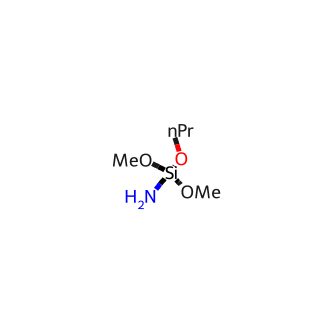 CCCO[Si](N)(OC)OC